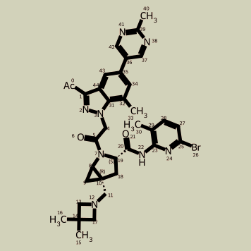 CC(=O)c1nn(CC(=O)N2C3C[C@]3(CN3CC(C)(C)C3)C[C@H]2C(=O)Nc2nc(Br)ccc2C)c2c(C)cc(-c3cnc(C)nc3)cc12